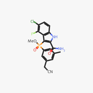 COP(=O)(c1cc(C)cc(CC#N)c1)c1c(C(N)=O)[nH]c2ccc(Cl)c(F)c12